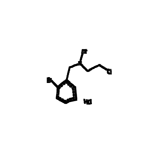 CCN(CCCl)Cc1ccccc1Br.Cl